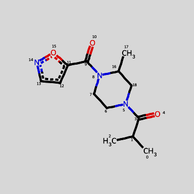 CC(C)C(=O)N1CCN(C(=O)c2ccno2)C(C)C1